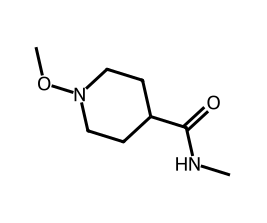 CNC(=O)C1CCN(OC)CC1